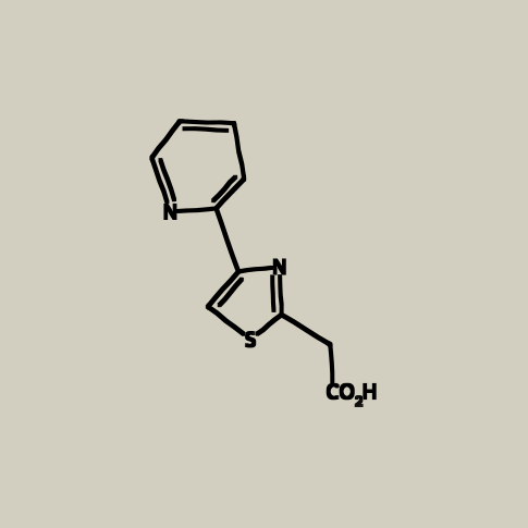 O=C(O)Cc1nc(-c2ccccn2)cs1